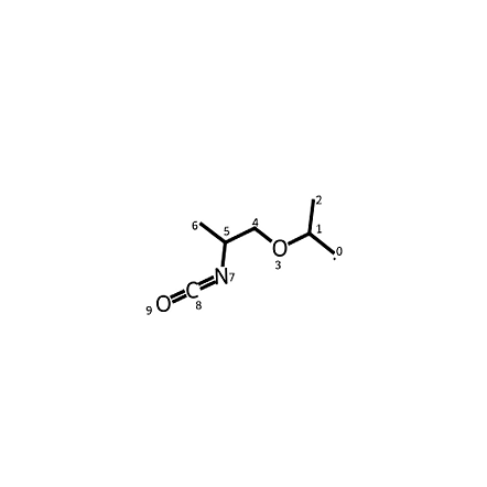 [CH2]C(C)OCC(C)N=C=O